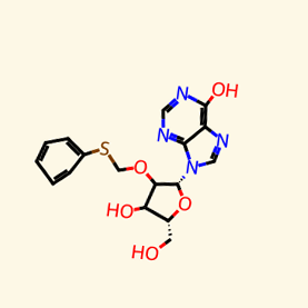 OC[C@H]1O[C@@H](n2cnc3c(O)ncnc32)C(OCSc2ccccc2)C1O